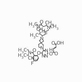 CCN(C(=O)c1cc(F)ccc1Oc1nncnc1N1CCC2(C1)CN(C(CCCN(C)C(C)CC(=O)N(C)C)C(C)C)C2)C(C)C.O=C(O)/C=C/C(=O)O